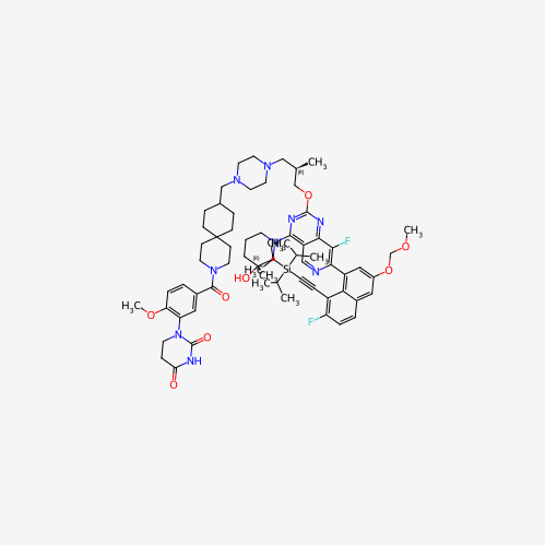 COCOc1cc(-c2ncc3c(N4CCC[C@@](C)(O)C4)nc(OC[C@H](C)CN4CCN(CC5CCC6(CC5)CCN(C(=O)c5ccc(OC)c(N7CCC(=O)NC7=O)c5)CC6)CC4)nc3c2F)c2c(C#C[Si](C(C)C)(C(C)C)C(C)C)c(F)ccc2c1